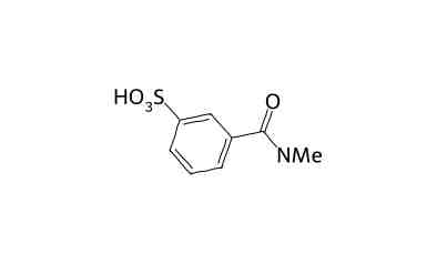 CNC(=O)c1cccc(S(=O)(=O)O)c1